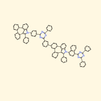 c1ccc(-c2nc(-c3ccc(-n4c(-c5ccccc5)c5c6c(cccc64)-c4ccccc4-c4ccccc4-5)cc3)nc(-c3cccc(-c4ccc5c(c4)-c4ccccc4-c4c(-c6ccccc6)n(-c6ccc(-c7nc(-c8ccccc8)nc(-c8ccccc8)n7)c7ccccc67)c6cccc-5c46)c3)n2)cc1